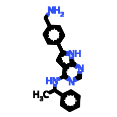 CC(Nc1ncnc2[nH]c(-c3ccc(CN)cc3)cc12)c1ccccc1